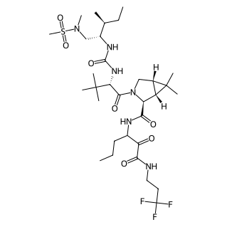 CCCC(NC(=O)[C@@H]1[C@@H]2[C@H](CN1C(=O)[C@@H](NC(=O)N[C@H](CN(C)S(C)(=O)=O)[C@@H](C)CC)C(C)(C)C)C2(C)C)C(=O)C(=O)NCCC(F)(F)F